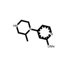 COc1cc(N2CCNCC2C)ccn1